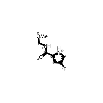 COCNC(=O)c1cc(F)c[nH]1